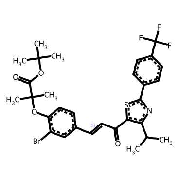 CC(C)c1nc(-c2ccc(C(F)(F)F)cc2)sc1C(=O)/C=C/c1ccc(OC(C)(C)C(=O)OC(C)(C)C)c(Br)c1